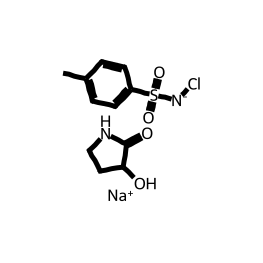 Cc1ccc(S(=O)(=O)[N-]Cl)cc1.O=C1NCCC1O.[Na+]